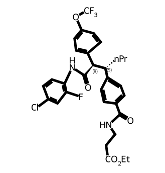 CCC[C@H](c1ccc(C(=O)NCCC(=O)OCC)cc1)[C@@H](C(=O)Nc1ccc(Cl)cc1F)c1ccc(OC(F)(F)F)cc1